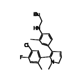 CCC(C)CNc1ccc(C2=C(c3cc(Cl)c(F)cc3C)N(C)CC=C2)cc1C